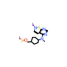 CN(c1ncnc2c1C=CN(I)S2)C1CCC(COSI)CC1